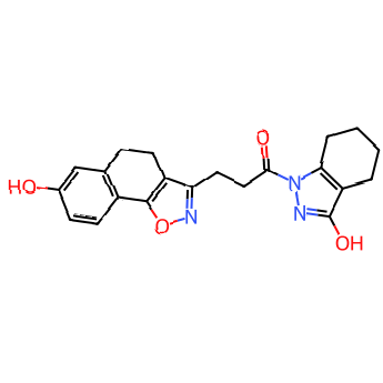 O=C(CCc1noc2c1CCc1cc(O)ccc1-2)n1nc(O)c2c1CCCC2